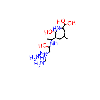 CC1CC(C(O)O)NC(O)C(C(C)NC(O)CN(CN)NN)C1